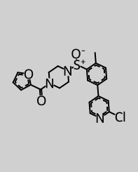 Cc1ccc(-c2ccnc(Cl)c2)cc1[S+]([O-])N1CCN(C(=O)c2ccco2)CC1